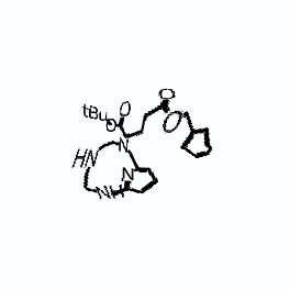 CC(C)(C)OC(=O)C(CCC(=O)OCc1ccccc1)N1CCNCCNCc2cccc(n2)C1